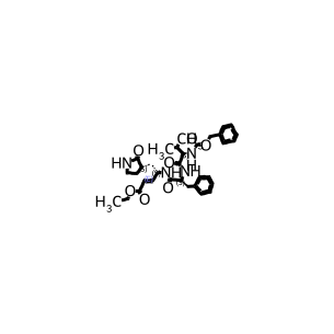 CCOC(=O)/C=C/[C@H](C[C@@H]1CCNC1=O)NC(=O)[C@H](Cc1ccccc1)NC(=O)[C@@H](NC(=O)OCc1ccccc1)C(C)C